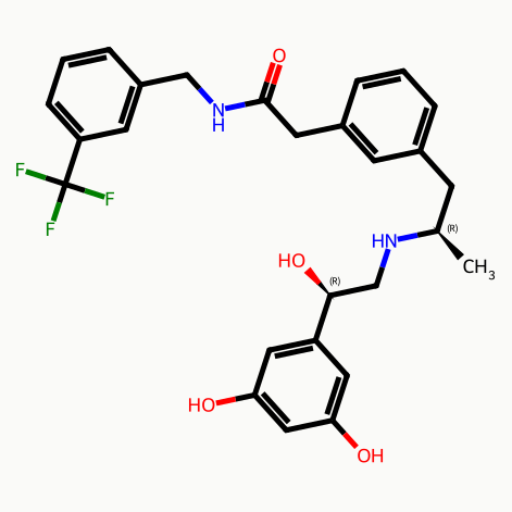 C[C@H](Cc1cccc(CC(=O)NCc2cccc(C(F)(F)F)c2)c1)NC[C@H](O)c1cc(O)cc(O)c1